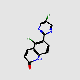 O=c1ccc2c(Cl)c(-c3ncc(Cl)cn3)ccc2[nH]1